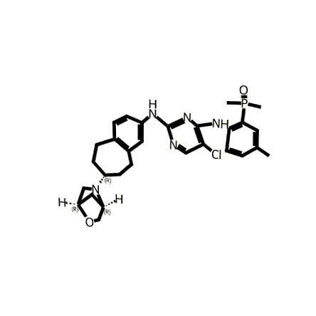 Cc1ccc(Nc2nc(Nc3ccc4c(c3)CC[C@H](N3C[C@H]5C[C@@H]3CO5)CC4)ncc2Cl)c(P(C)(C)=O)c1